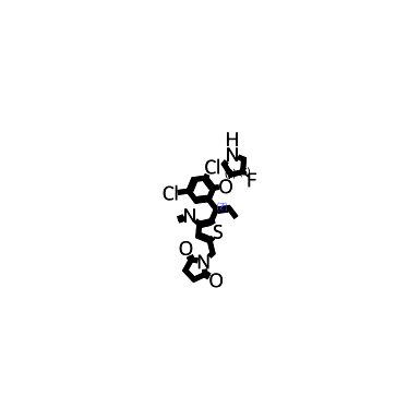 C=Nc1cc(CN2C(=O)CCC2=O)sc1/C(=C\C)c1cc(Cl)cc(Cl)c1O[C@@H]1CNC[C@@H]1F